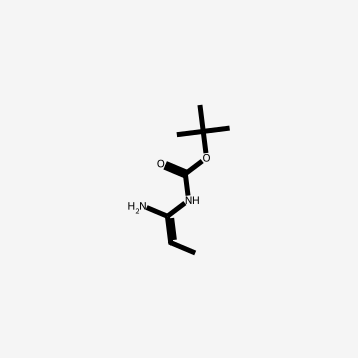 CC=C(N)NC(=O)OC(C)(C)C